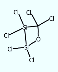 ClC1(Cl)O[Si](Cl)(Cl)[Si]1(Cl)Cl